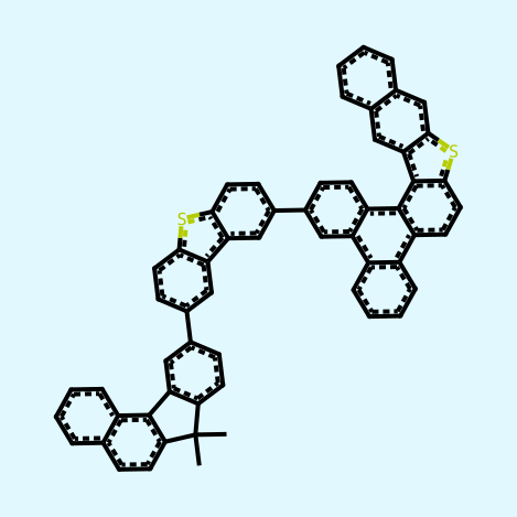 CC1(C)c2ccc(-c3ccc4sc5ccc(-c6ccc7c(c6)c6ccccc6c6ccc8sc9cc%10ccccc%10cc9c8c67)cc5c4c3)cc2-c2c1ccc1ccccc21